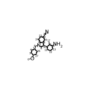 COc1ccc(Cn2cc(-c3cccc(N)c3C)c3cc(C#N)ccc32)cc1